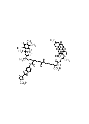 CC1=C(C)C(=O)C(C(C)(C)CC(=O)N(C)CCN(CCCC(=O)NCCCCC(NC(=O)CC[C@@H](C)[C@H]2CC[C@H]3[C@@H]4CC[C@@H]5C[C@H](C)CC[C@]5(C)[C@H]4C[C@H](O)[C@]23C)C(=O)O)C(=O)Oc2ccc3nc(C4=NC(C(=O)O)CS4)sc3c2)=C(C)C1=O